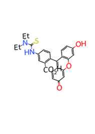 CCN(CC)C(=S)Nc1ccc(-c2c3ccc(=O)cc-3oc3cc(O)ccc23)c(C(=O)O)c1